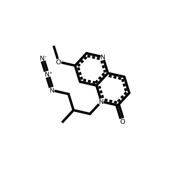 COc1cnc2ccc(=O)n(CC(C)CN=[N+]=[N-])c2c1